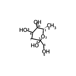 C[C@@H]1OC(O)(CO)CC(O)C1O